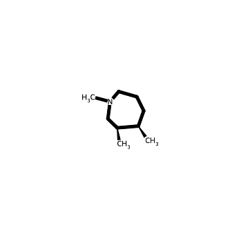 C[C@@H]1CCCN(C)C[C@@H]1C